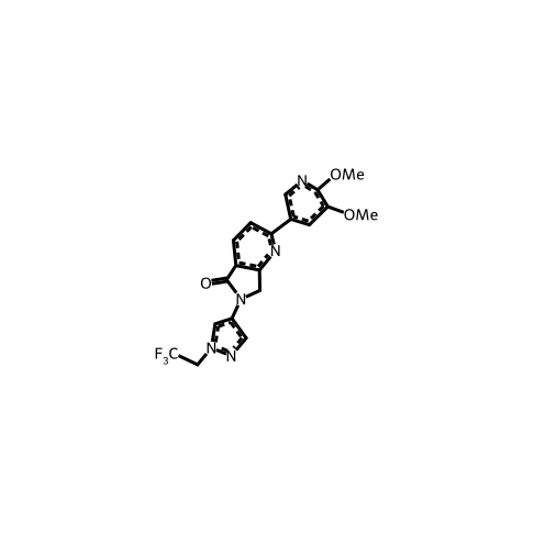 COc1cc(-c2ccc3c(n2)CN(c2cnn(CC(F)(F)F)c2)C3=O)cnc1OC